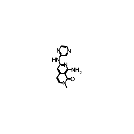 Cn1ccc2cc(Nc3cnccn3)nc(N)c2c1=O